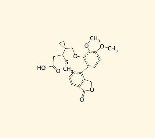 COc1ccc(-c2cccc3c2COC3=O)c(OCC2(C(CC(=O)O)SC)CC2)c1OC